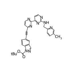 Cc1ccc(CNc2nccc(-c3nccc(C#Cc4ccc5c(cnn5C(=O)OC(C)(C)C)c4)n3)n2)nc1